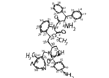 COC(=O)N(C(=O)[C@@H](N)C(c1ccccc1)c1ccccc1)c1ccccc1CC[C@@H](CO)N(Cc1cncnc1C)S(=O)(=O)c1ccc(N)cc1